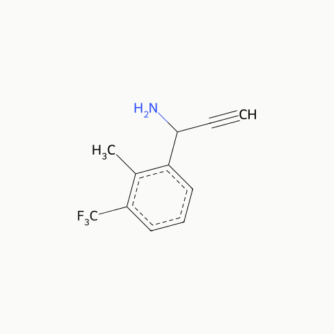 C#CC(N)c1cccc(C(F)(F)F)c1C